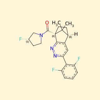 CC1(C)[C@H]2CC[C@]1(C(=O)N1CC[C@H](F)C1)c1nnc(-c3c(F)cccc3F)cc12